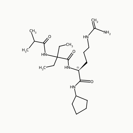 C=C(N)NCCC[C@H](NC(=O)C(CC)(CC)NC(=O)C(C)C)C(=O)NC1CCCC1